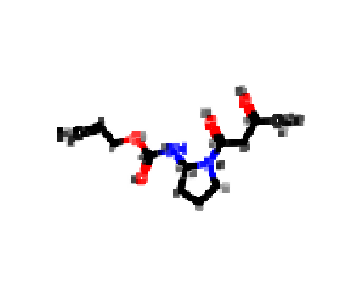 C=CCOC(=O)N[C@@H]1CCCN1C(=O)CC(=O)OC